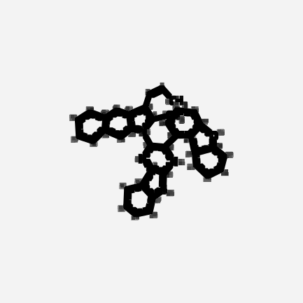 C/C=C\c1c(C)n(-c2nc3c(nc2-c2cccc4oc5ccccc5c24)sc2ccccc23)c2cc3ccccc3cc12